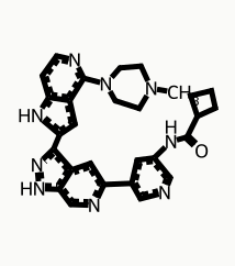 CN1CCN(c2nccc3[nH]c(-c4n[nH]c5cnc(-c6cncc(NC(=O)C7CCC7)c6)cc45)cc23)CC1